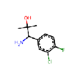 CC(C)(O)C(N)c1ccc(F)c(Cl)c1